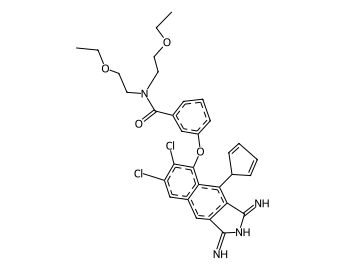 CCOCCN(CCOCC)C(=O)c1cccc(Oc2c(Cl)c(Cl)cc3cc4c(c(C5C=CC=C5)c23)C(=N)NC4=N)c1